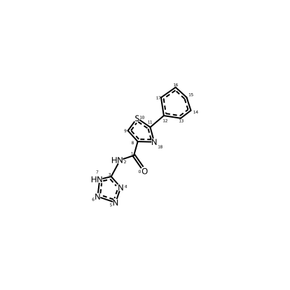 O=C(Nc1nnn[nH]1)c1csc(-c2ccccc2)n1